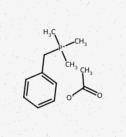 CC(=O)[O-].C[P+](C)(C)Cc1ccccc1